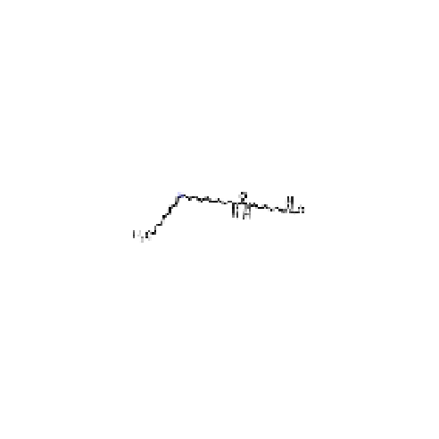 CCCCCCCC/C=C\CCCCCCCCNC(=O)NCCCCCCNC=O